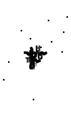 CCCC(=O)NC1CCCC(CCC)(CCC)C1.CCCC(=O)[NH][Ti+2].[Cl-].[Cl-]